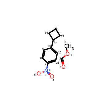 COC=O.O=[N+]([O-])c1ccc(C2CCC2)cc1